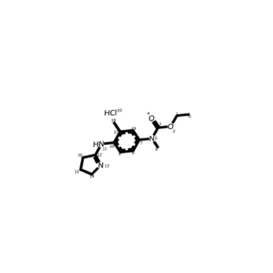 CCOC(=O)N(C)c1ccc(NC2=NCCC2)c(C)c1.Cl